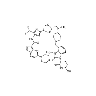 CN(C[C@H]1OC[C@H](n2cc(NC(=O)c3cnn4ccc(N5CCOCC5)nc34)c(C(F)F)n2)CO1)C1CCN(Cc2cccc3c2n(C)c(=O)n3C2CCC(O)NC2=O)CC1